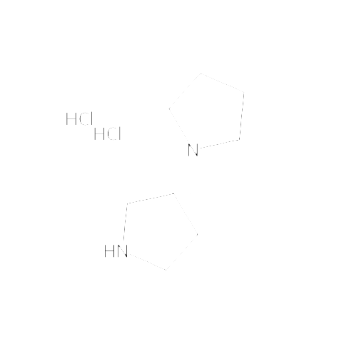 C[C@H]1CCCN1[C@@H]1CCNC1.Cl.Cl